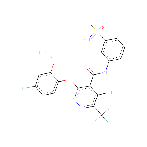 COc1cc(F)ccc1Oc1nnc(C(F)(F)F)c(C)c1C(=O)Nc1cccc(S(C)(=N)=O)c1